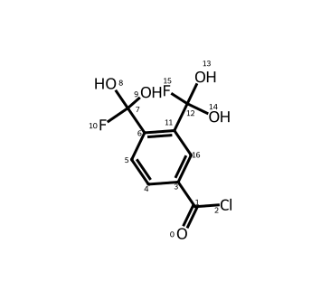 O=C(Cl)c1ccc(C(O)(O)F)c(C(O)(O)F)c1